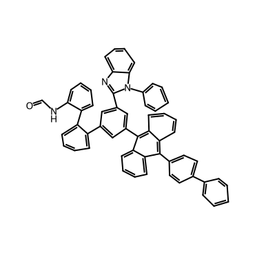 O=CNc1ccccc1-c1ccccc1-c1cc(-c2c3ccccc3c(-c3ccc(-c4ccccc4)cc3)c3ccccc23)cc(-c2nc3ccccc3n2-c2ccccc2)c1